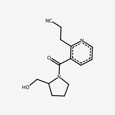 N#CCCc1ncccc1C(=O)N1CCCC1CO